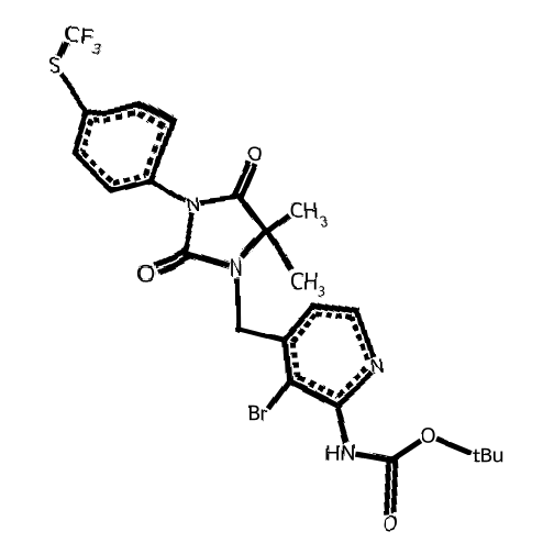 CC(C)(C)OC(=O)Nc1nccc(CN2C(=O)N(c3ccc(SC(F)(F)F)cc3)C(=O)C2(C)C)c1Br